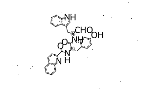 O=C[C@H](Cc1c[nH]c2ccccc12)NC(=O)[C@H](Cc1ccc(O)cc1)NC(=O)c1ccc2ccccc2n1